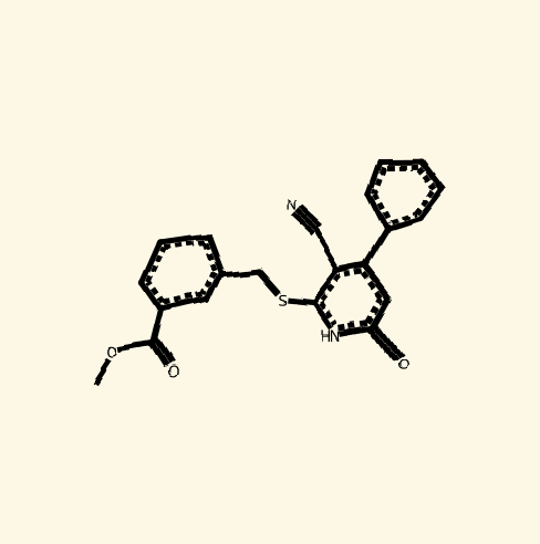 COC(=O)c1cccc(CSc2[nH]c(=O)cc(-c3ccccc3)c2C#N)c1